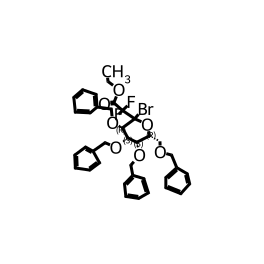 CCOC(=O)C(F)(F)C1(Br)O[C@H](COCc2ccccc2)[C@H](OCc2ccccc2)[C@H](OCc2ccccc2)[C@H]1OCc1ccccc1